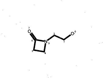 [O]CCN1CCC1=O